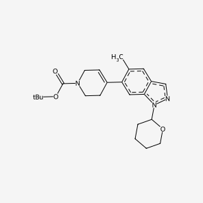 Cc1cc2cnn(C3CCCCO3)c2cc1C1=CCN(C(=O)OC(C)(C)C)CC1